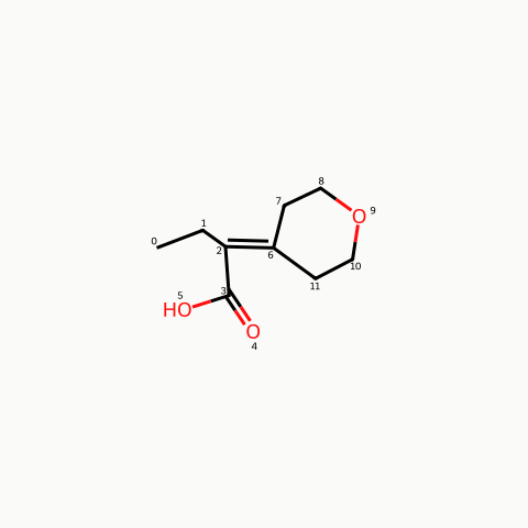 CCC(C(=O)O)=C1CCOCC1